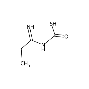 CCC(=N)NC(=O)S